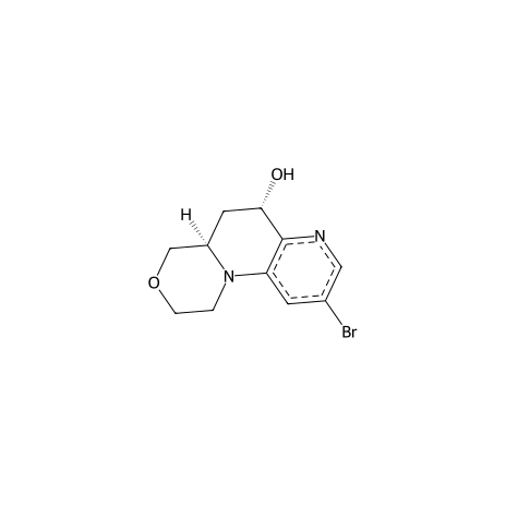 O[C@H]1C[C@@H]2COCCN2c2cc(Br)cnc21